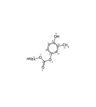 CCCCCCOC(=O)Oc1ccc(O)c(C)c1